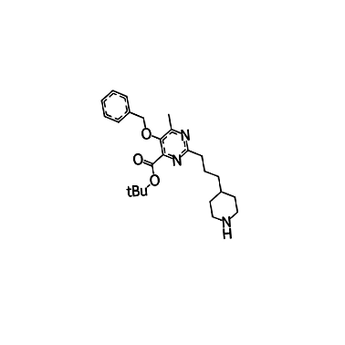 Cc1nc(CCCC2CCNCC2)nc(C(=O)OC(C)(C)C)c1OCc1ccccc1